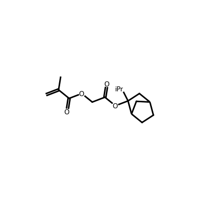 C=C(C)C(=O)OCC(=O)OC1(C(C)C)CC2CCC1C2